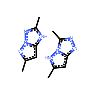 Cc1cc2[nH]c(C)nn2n1.Cc1cc2nnc(C)n2[nH]1